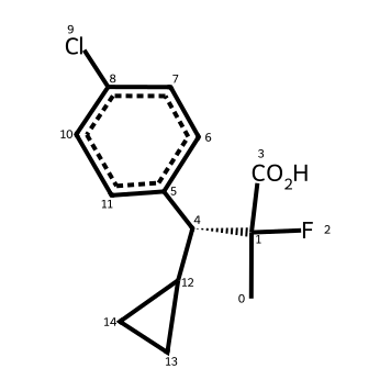 CC(F)(C(=O)O)[C@@H](c1ccc(Cl)cc1)C1CC1